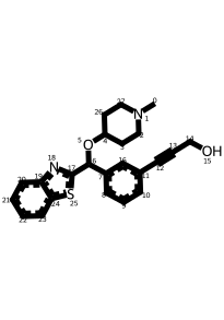 CN1CCC(OC(c2cccc(C#CCO)c2)c2nc3ccccc3s2)CC1